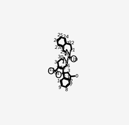 CC(C)CC1(c2ccccc2)OC(=O)C2=C1CN(C(=O)N1CCc3ccccc3C1)CC2